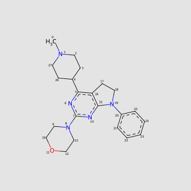 CN1CCC(c2nc(N3CCOCC3)nc3c2CCN3c2ccccc2)CC1